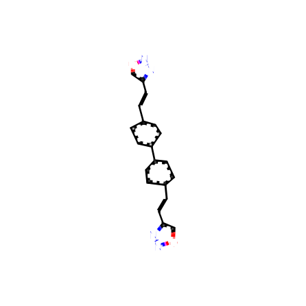 C(=Cc1conn1)c1ccc(-c2ccc(C=Cc3conn3)cc2)cc1